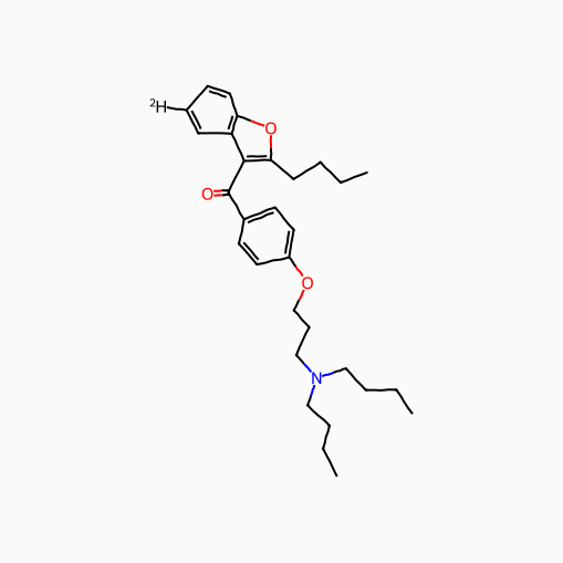 [2H]c1ccc2oc(CCCC)c(C(=O)c3ccc(OCCCN(CCCC)CCCC)cc3)c2c1